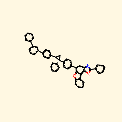 c1ccc(-c2cccc(-c3ccc(C4C[C@@]4(c4ccccc4)c4ccc(-c5cc6nc(-c7ccccc7)oc6c6c5oc5ccccc56)cc4)cc3)c2)cc1